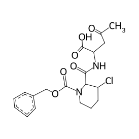 CC(=O)CC(NC(=O)C1C(Cl)CCCN1C(=O)OCc1ccccc1)C(=O)O